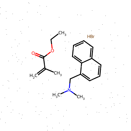 Br.C=C(C)C(=O)OCC.CN(C)Cc1cccc2ccccc12